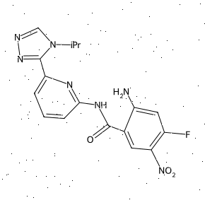 CC(C)n1cnnc1-c1cccc(NC(=O)c2cc([N+](=O)[O-])c(F)cc2N)n1